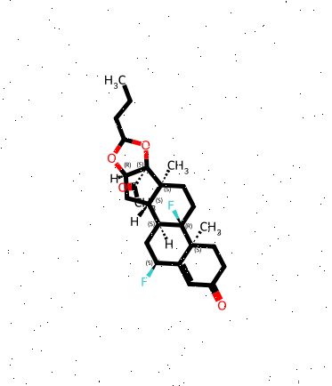 CCCC1O[C@@H]2C[C@H]3[C@@H]4C[C@H](F)C5=CC(=O)CC[C@]5(C)[C@@]4(F)CC[C@]3(C)[C@]2(C(C)=O)O1